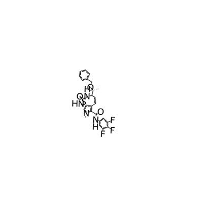 C[C@@H](OCc1ccccc1)C1C=Cc2c(cn(C)c2C(=O)Nc2cc(F)c(F)c(F)c2)S(=N)(=O)N1